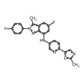 Cc1ncc(-c2ccc(Nc3cc(F)cc4c(C)n(-c5ccc(F)cc5)nc34)cn2)o1